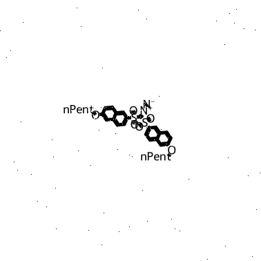 CCCCCOc1ccc2cc(S(=O)(=O)C(=[N+]=[N-])S(=O)(=O)c3ccc4cc(OCCCCC)ccc4c3)ccc2c1